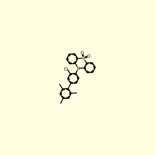 Cc1cc(C)c(-c2ccc(N3c4ccccc4S(=O)(=O)c4ccccc43)c(Cl)c2)c(C)c1